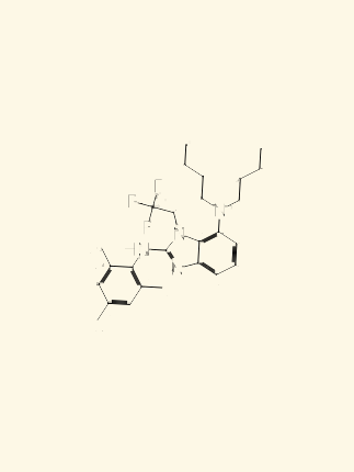 CCCCN(CCCC)c1cccc2nc(Nc3c(C)cc(C)cc3C)n(CC(F)(F)F)c12